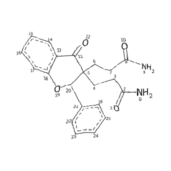 NC(=O)CCC1(CCC(N)=O)C(=O)c2ccccc2OC1c1ccccc1